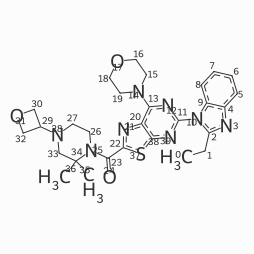 CCc1nc2ccccc2n1-c1nc(N2CCOCC2)c2nc(C(=O)N3CCN(C4COC4)CC3(C)C)sc2n1